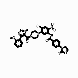 COc1ccccc1-c1nnn(C)c1C(=O)N1CCN(c2cc(NC(=O)c3ccc(N4CCOC4=O)cc3)c([N+](=O)[O-])cc2Cl)CC1